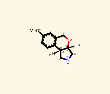 COc1ccc2c(c1)CO[C@@H]1CNC[C@H]21